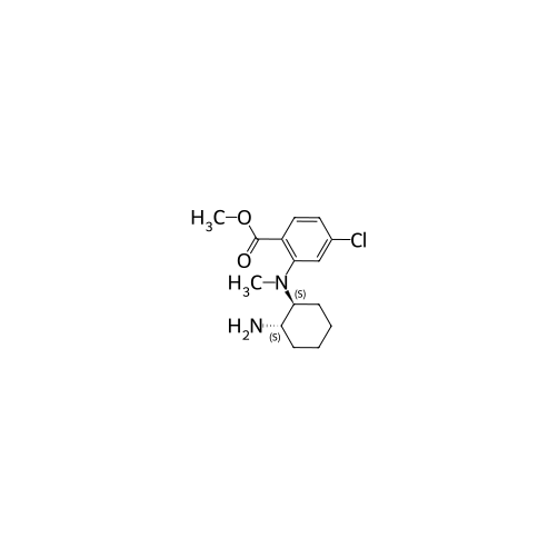 COC(=O)c1ccc(Cl)cc1N(C)[C@H]1CCCC[C@@H]1N